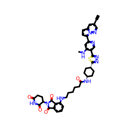 C#Cc1cnn2c(-c3cc(NC)c(-c4nnc([C@H]5CC[C@@H](NC(=O)CCCCCNc6cccc7c6C(=O)N(C6CCC(=O)NC6=O)C7=O)CC5)s4)cn3)ccc2c1